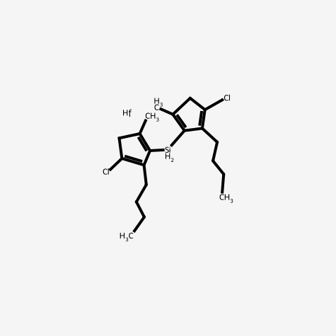 CCCCC1=C(Cl)CC(C)=C1[SiH2]C1=C(C)CC(Cl)=C1CCCC.[Hf]